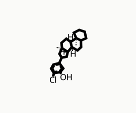 C[C@]12CC[C@@H]3[C@@H](CCC4CCCC[C@@]43C)[C@@H]1CC(c1ccc(Cl)c(O)c1)C2